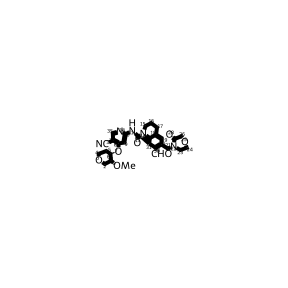 COC1COCC[C@@H]1Oc1cc(NC(=O)N2CCCC3=CC(CN4CCOCC4=O)=C(C=O)C4CC342)ncc1C#N